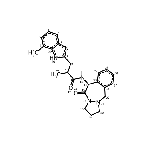 Cc1cccc2nc(CC(C)C(=O)N[C@@H]3C(=O)N4CCCN4Cc4ccccc43)[nH]c12